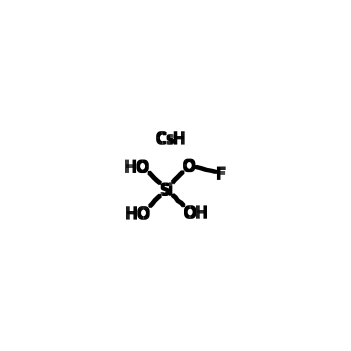 O[Si](O)(O)OF.[CsH]